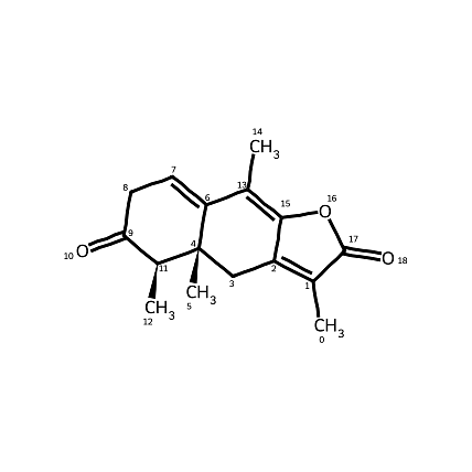 CC1=C2C[C@@]3(C)C(=CCC(=O)[C@@H]3C)C(C)=C2OC1=O